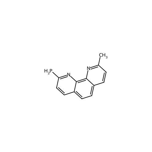 Cc1ccc2ccc3ccc(P)nc3c2n1